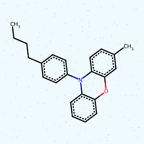 CCCCc1ccc(N2c3ccccc3Oc3cc(C)ccc32)cc1